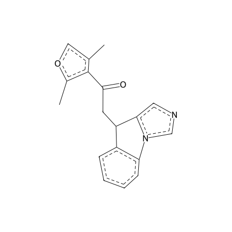 Cc1coc(C)c1C(=O)CC1c2ccccc2-n2cncc21